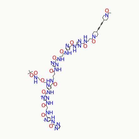 CC(=O)N1CCC(C#CC#CC2CCN(C(=O)CCNC(=O)c3nc(NC(=O)c4cc(NC(=O)CCNC(=O)c5nc(NC(=O)CCCNC(=O)c6cc(NC(=O)c7nc(NC(=O)CCNC(=O)c8cc(NC(=O)c9nccn9C)cn8C)cn7C)cn6CCOCCNC(=O)OC(C)(C)C)cn5C)cn4C)cn3C)CC2)CC1